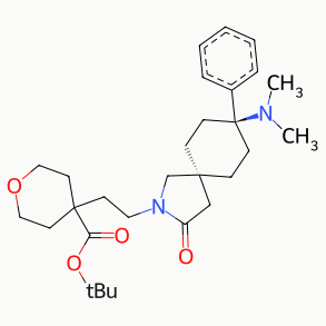 CN(C)[C@]1(c2ccccc2)CC[C@]2(CC1)CC(=O)N(CCC1(C(=O)OC(C)(C)C)CCOCC1)C2